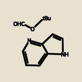 CC(C)(C)OC=O.c1cnc2cc[nH]c2c1